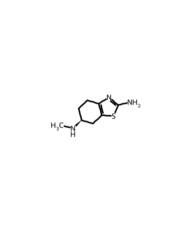 CN[C@H]1CCc2nc(N)sc2C1